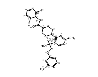 Cc1ncc(C(O)(COc2cccc(C(F)(F)F)n2)C(=O)O)c(C2CCN(C(=O)Nc3c(F)cccc3F)CC2)n1